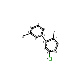 Cc1cc[c]c(-c2cc(Cl)ccc2C)c1